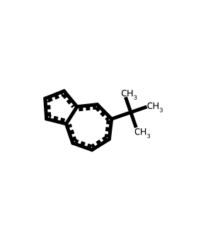 CC(C)(C)c1cccc2cccc-2c1